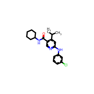 CC(C)c1cc(Nc2cccc(Cl)c2)ncc1C(=O)NC1CCCCC1